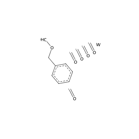 [CH]OCc1ccccc1.[C]=O.[C]=O.[C]=O.[C]=O.[C]=O.[W]